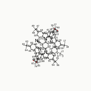 CC(C)(C)c1ccc(-c2c(-n3c4ccc(C(C)(C)C)cc4c4cc(C(C)(C)C)ccc43)c(-n3c4ccc(C(C)(C)C)cc4c4cc(C(C)(C)C)ccc43)c(C#N)c(-n3c4ccc(C(C)(C)C)cc4c4cc(C(C)(C)C)ccc43)c2-n2c3ccc(C(C)(C)C)cc3c3cc(C(C)(C)C)ccc32)cc1